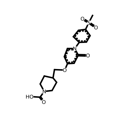 CS(=O)(=O)c1ccc(-n2ccc(OCC3CCN(C(=O)O)CC3)cc2=O)cc1